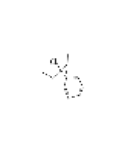 C[CH2][Sn]([Cl])([CH2]C)[c]1ccccc1